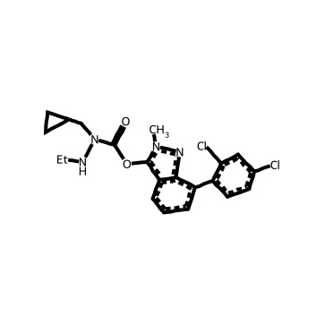 CCNN(CC1CC1)C(=O)Oc1c2cccc(-c3ccc(Cl)cc3Cl)c2nn1C